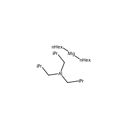 CC(C)[CH2][Al]([CH2]C(C)C)[CH2]C(C)C.CCCCC[CH2][Mg][CH2]CCCCC